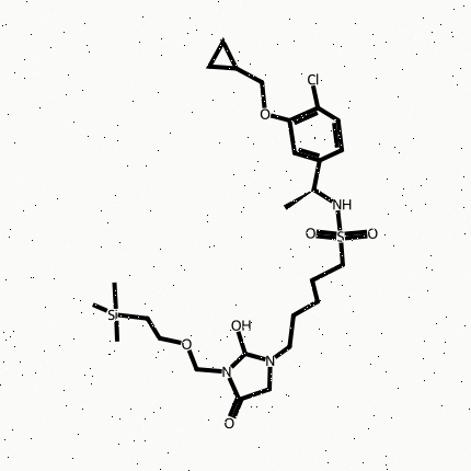 C[C@H](NS(=O)(=O)CCCCCN1CC(=O)N(COCC[Si](C)(C)C)C1O)c1ccc(Cl)c(OCC2CC2)c1